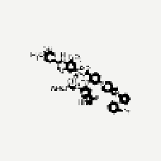 CO[C@H](C)COc1nc2[nH]cc(F)c2cc1Oc1cc(N2CCC3(CC2)CN(C2CCC[C@@H]2c2ccccc2C(C)C)C3)ccc1C(=O)NS(=O)(=O)c1cc2c(c([N+](=O)[O-])c1)N[C@@H]([C@H]1CC[C@](C)(O)CC1)CO2